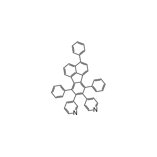 c1ccc(-c2c(-c3ccncc3)c(-c3cccnc3)c(-c3ccccc3)c3c2-c2ccc(-c4ccccc4)c4cccc-3c24)cc1